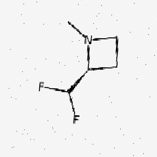 CN1CC[C@H]1C(F)F